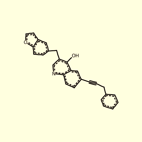 Oc1c(Cc2ccc3occc3c2)cnc2ccc(C#CCc3ccccc3)cc12